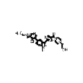 CCNCc1cncc(-c2ccc3[nH]nc(-c4ncc(C(=O)N5CCN(CCO)CC5)[nH]4)c3c2)c1C